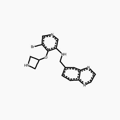 Brc1cncc(NCc2ccc3nccnc3c2)c1OC1CNC1